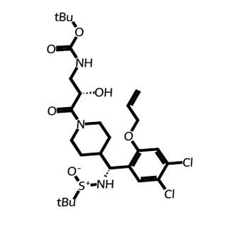 C=CCOc1cc(Cl)c(Cl)cc1[C@H](N[S+]([O-])C(C)(C)C)C1CCN(C(=O)[C@@H](O)CNC(=O)OC(C)(C)C)CC1